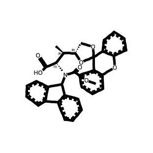 COC(=O)N(C1c2ccccc2-c2ccccc21)[C@H](C(=O)O)[C@@H](C)[C@@H]1COC2(O1)c1ccccc1Oc1ccccc12